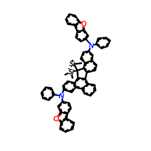 C[Si](C)(C)C1([Si](C)(C)C)c2c(ccc3cc(N(c4ccccc4)c4ccc5c(c4)oc4ccccc45)ccc23)-c2c1c1ccc(N(c3ccccc3)c3ccc4c(c3)oc3ccccc34)cc1c1ccccc21